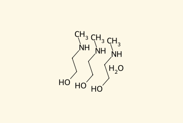 CNCCO.CNCCO.CNCCO.O